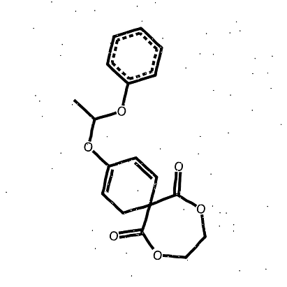 CC(OC1=CCC2(C=C1)C(=O)OCCOC2=O)Oc1ccccc1